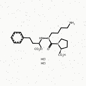 CCOC(=O)C(CCc1ccccc1)NN(CCCCN)C(=O)N1CCC[C@H]1C(=O)O.Cl.Cl